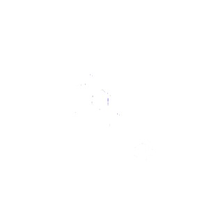 Cc1c(N2CCC(Oc3ccc(F)cc3)CC2)nc2c(c1C)C(=O)N(CCO)C2